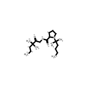 CCCCC(C)(C)N1CCCC1C(=O)OCC(=O)C(C)(C)CCC